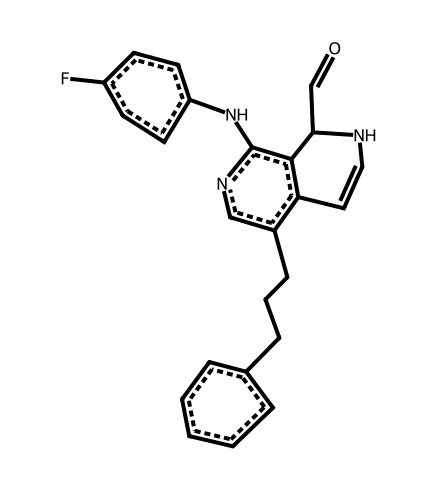 O=CC1NC=Cc2c(CCCc3ccccc3)cnc(Nc3ccc(F)cc3)c21